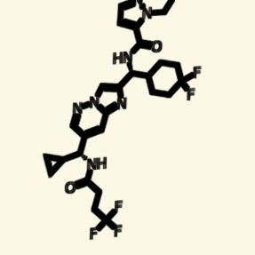 CCn1nccc1C(=O)N[C@H](c1cn2ncc([C@H](NC(=O)CCC(F)(F)F)C3CC3)cc2n1)C1CCC(F)(F)CC1